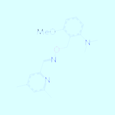 COc1cccc(N(C)C)c1CON=Cc1cc(C)cc(C)n1